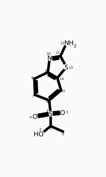 CC(O)S(=O)(=O)c1ccc2nc(N)sc2c1